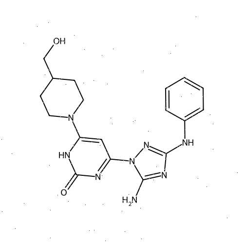 Nc1nc(Nc2ccccc2)nn1-c1cc(N2CCC(CO)CC2)[nH]c(=O)n1